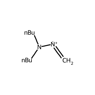 C=[N+]N(CCCC)CCCC